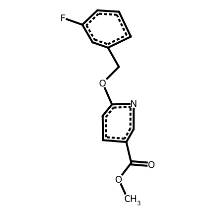 COC(=O)c1ccc(OCc2cccc(F)c2)nc1